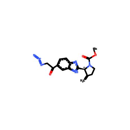 C=C1CCN(C(=O)OC(C)(C)C)[C@@H]1c1nc2ccc(C(=O)CN=[N+]=[N-])cc2[nH]1